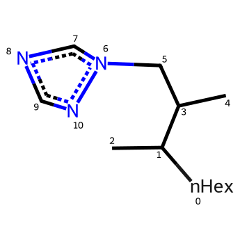 CCCCCCC(C)C(C)Cn1cncn1